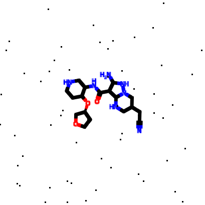 N#CCC1CNC2C(C(=O)NC3CNCCC3O[C@H]3CCOC3)C(N)NN2C1